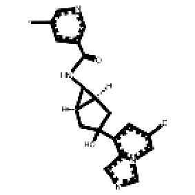 O=C(NC1[C@H]2CC(O)(c3cc(Cl)cn4cncc34)C[C@@H]12)c1cncc(F)c1